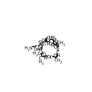 C=C1C[C@@H]2CC[C@@]34C[C@@]5(C)O[C@H]6[C@@H](O3)[C@H]3OC(CC[C@@H]3O[C@H]6C5O4)CC(=O)C[C@@H]3[C@@H](C)[C@@H](C[C@H](O)CN)O[C@H]3CC3O[C@@H](CCC1O2)C[C@@H](C)C3=C